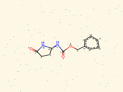 O=C1CC[C@H](NC(=O)OCc2ccccc2)N1